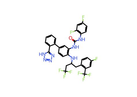 O=C(Nc1ccc(F)cc1F)Nc1cc(-c2ccccc2-c2nnn[nH]2)ccc1NC(Cc1ccc(F)cc1C(F)(F)F)CC(F)(F)F